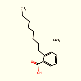 CCCCCCCCc1ccccc1C(=O)O.[CaH2]